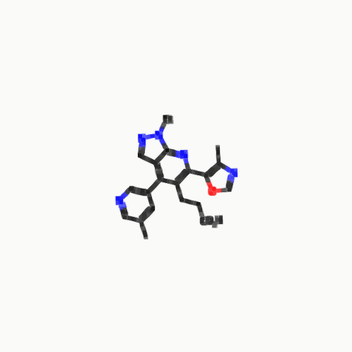 CCn1ncc2c(-c3cncc(C)c3)c(CCC(=O)O)c(-c3ocnc3C)nc21